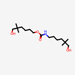 CC(C)(CO)CCCCNC(=O)OCCCCC(C)(C)CO